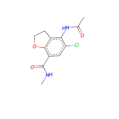 CNC(=O)c1cc(Cl)c(NC(C)=O)c2c1OCC2